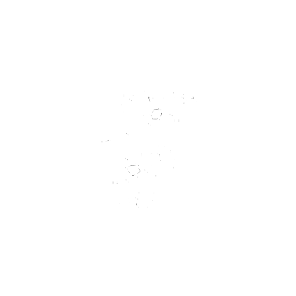 CCCCCCCCCCCCN(CCCNc1nc(N(CCCC)C2CC(C)(C)N(C)C(C)(C)C2)nc(N(CCCC)C2CC(C)(C)N(C)C(C)(C)C2)n1)CCCNc1nc(N(CCCC)C2CC(C)(C)N(C)C(C)(C)C2)nc(N(CCCC)C2CC(C)(C)N(C)C(C)(C)C2)n1